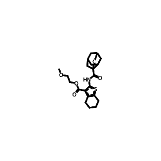 COCCOC(=O)c1c(NC(=O)C23CC4CC(CC2C4)C3)sc2c1CCCC2